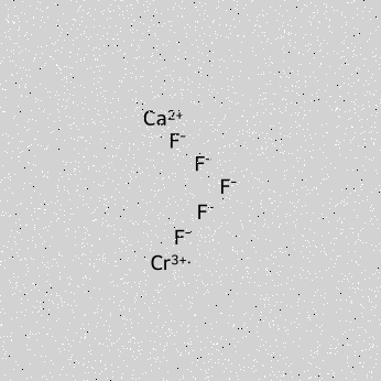 [Ca+2].[Cr+3].[F-].[F-].[F-].[F-].[F-]